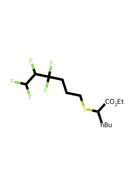 CCCCC(SCCCC(F)(F)C(F)C(F)F)C(=O)OCC